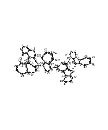 c1cc2ccc3c4c2c(c1)oc1cccc2ccc(c4c21)n3-c1ccc(-c2nc(-c3cccc4c3sc3ccccc34)c3sc4ccccc4c3n2)c2ccccc12